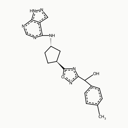 Cc1ccc(C(O)c2noc([C@H]3CC[C@H](Nc4ncnc5[nH]ncc45)C3)n2)cc1